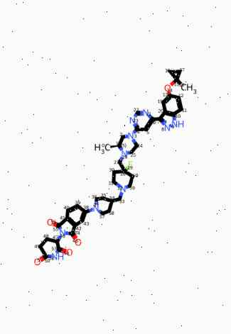 C[C@H]1CN(c2cc(-c3n[nH]c4ccc(OC5(C)CC5)cc34)ncn2)CCN1CC1(F)CCN(CC2CCN(c3ccc4c(c3)C(=O)N(C3CCC(=O)NC3=O)C4=O)CC2)CC1